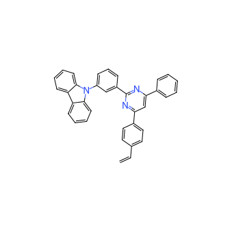 C=Cc1ccc(-c2cc(-c3ccccc3)nc(-c3cccc(-n4c5ccccc5c5ccccc54)c3)n2)cc1